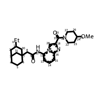 CCC1CC2CCCC(CC(=O)Nc3cccc4nc(C(=O)N5CCC(OC)CC5)cn34)(C1)C2